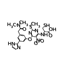 CSc1nc(NC(CS)C(=O)O)c([N+](=O)[O-])c(Oc2cc(CC(=O)N(C)C)cc(-c3ncc[nH]3)c2)n1